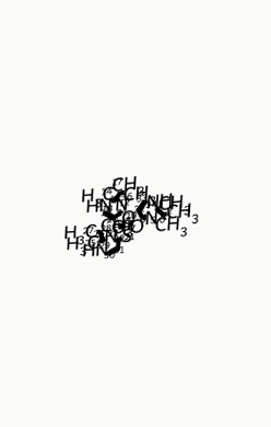 CC(C)C1(C)N=C(OP(=O)(OC2=NC(C)(C(C)C)NC=C2)SC2=NC(C)(C(C)C)NC=C2)C=CN1